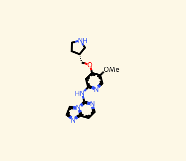 COc1cnc(Nc2nccc3nccn23)cc1OC[C@@H]1CCNC1